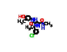 CNC(=O)c1cc(C(=O)N[C@H]2CC[C@H](O)[C@@H](C)C2)n([C@@H](C)c2cccc(Cl)c2)n1